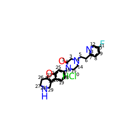 Cl.O=C1CN(CCc2ccc(F)cn2)CCN1c1ccc2c3c(oc2c1)CCNC3